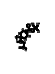 CC(C)CC(C)C1(F)CCN(C(=O)OC(C)(C)C)CC1